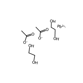 CC(=O)[O-].CC(=O)[O-].OCCO.OCCO.[Pb+2]